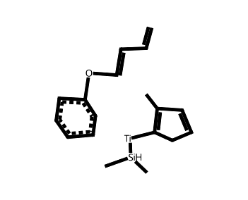 C=CC=COc1ccccc1.CC1=[C]([Ti][SiH](C)C)CC=C1